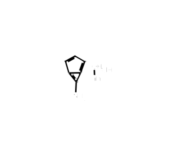 CC(C)O.Cl.Nc1c2cccc1-2